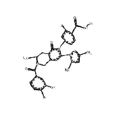 CNC(=O)c1ccc(-n2c(-n3nc(C)cc3C)nc3c(c2=O)CC(C)N(C(=O)c2ccc(Br)c(C)c2)C3)cc1Cl